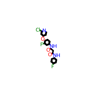 O=C(CC(=O)Nc1ccc(Oc2ccnc(Cl)c2)c(F)c1)Nc1ccc(F)cc1